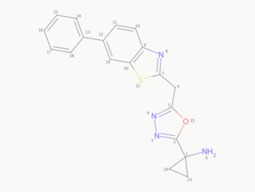 NC1(c2nnc(Cc3nc4ccc(-c5ccccc5)cc4s3)o2)CC1